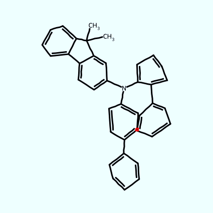 CC1(C)c2ccccc2-c2ccc(N(c3ccc(-c4ccccc4)cc3)c3ccccc3-c3ccccc3)cc21